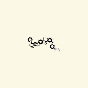 N[C@@H]1CCCN(Cc2ccnc(C(=O)Nc3ccc(-c4cc5c(N6CCCCC6)ncnc5[nH]4)cc3)c2)C1